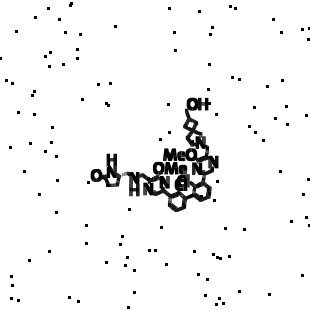 COc1nc(-c2cccc(-c3cccc(-c4cnc(CN5CCC6(CC(CO)C6)C5)c(OC)n4)c3Cl)c2Cl)cnc1CNC[C@@H]1CCC(=O)N1